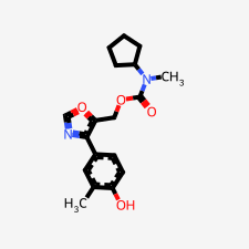 Cc1cc(-c2ncoc2COC(=O)N(C)C2CCCC2)ccc1O